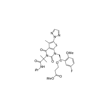 COC(=O)CCO[C@@H](Cn1c(=O)n(C(C)(C)C(=O)NC(C)C)c(=O)c2c(C)c(-n3nccn3)sc21)c1cc(F)ccc1OC